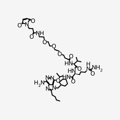 CCCCc1nc2c(N)nnc(OC(C)C)c2n1CC1CCC(NC(=O)[C@H](CCCNC(N)=O)NC(=O)[C@@H](NC(=O)CCOCCOCCOCCNC(=O)CCN2C(=O)C=CC2=O)C(C)C)CC1